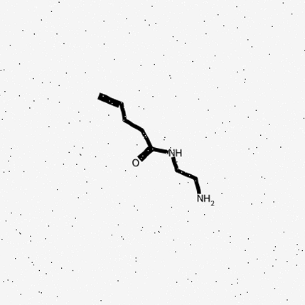 C=CCCC(=O)NCCN